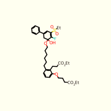 CCOC(=O)CCCOc1cccc(CCCCCCOC2(O)CC(c3ccccc3)=CC(S(=O)(=O)CC)=C2F)c1CCC(=O)OCC